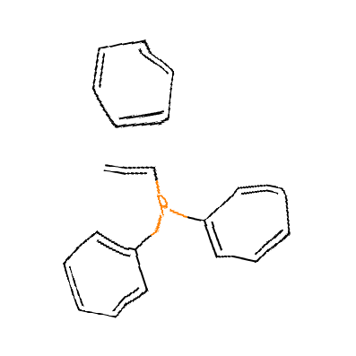 C=CP(c1ccccc1)c1ccccc1.c1ccccc1